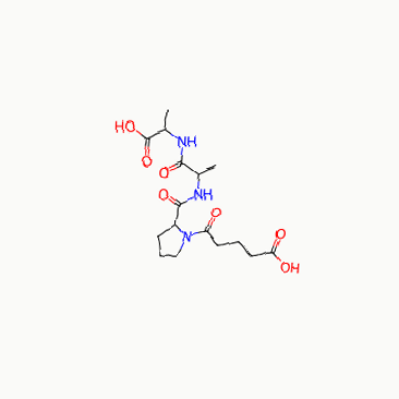 CC(NC(=O)C(C)NC(=O)C1CCCN1C(=O)CCCC(=O)O)C(=O)O